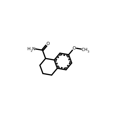 COc1ccc2c(c1)C(C(N)=O)CCC2